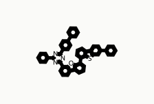 c1ccc(-c2ccc(-c3nc(-c4ccccc4)nc(-c4cccc5c4oc4c(-c6cccc7c6sc6cc(-c8ccccc8)ccc67)cccc45)n3)cc2)cc1